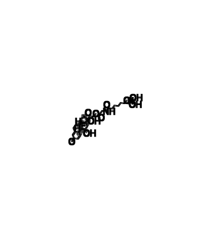 C[C@H]1C[C@H]2[C@@H]3CCC4=CC(=O)C=C[C@]4(C)[C@@]3(F)[C@@H](O)C[C@]2(C)[C@@]1(O)C(=O)COC(=O)CNC(=O)CCCCCON(O)O